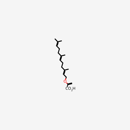 C=C(OC/C=C(\C)CC/C=C(\C)CCC=C(C)C)C(=O)O